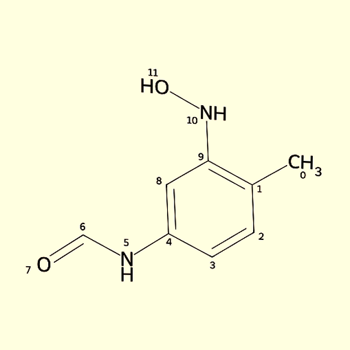 Cc1ccc(NC=O)cc1NO